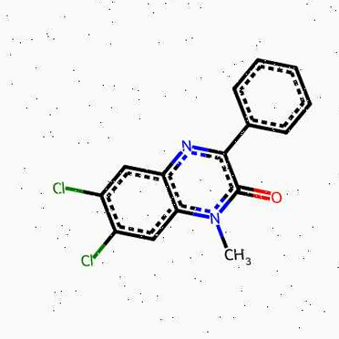 Cn1c(=O)c(-c2ccccc2)nc2cc(Cl)c(Cl)cc21